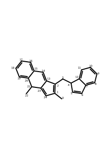 CC1=C(CC2C=Cc3ccccc32)C2=Cc3ccccc3C(C)C2=C1